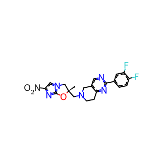 C[C@]1(CN2CCc3nc(-c4ccc(F)c(F)c4)ncc3C2)Cn2cc([N+](=O)[O-])nc2O1